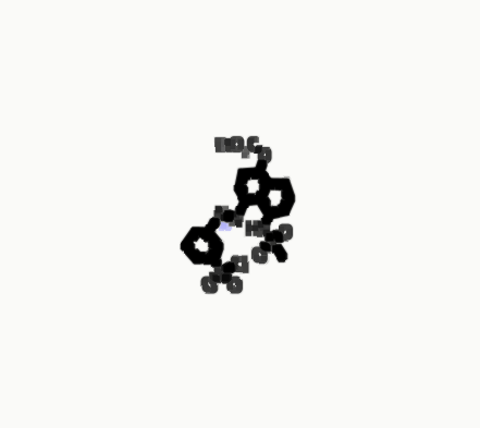 CCOC(=O)Oc1ccc(/N=N/c2cccc(S(=O)(=O)Cl)c2)c2c(NS(C)(=O)=O)cccc12